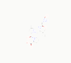 COC(=O)C1CCCN1C(=O)[C@@H]1CCCN1C[C@H](C(C)C)N(C)C(=O)CNC=O